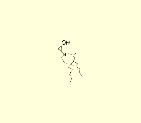 CCCCC[C@@H]1CC(C)CN(C2CC2O)CCCC1(C)CCCCC